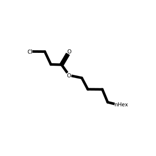 CCCCCCCCCCOC(=O)CCCl